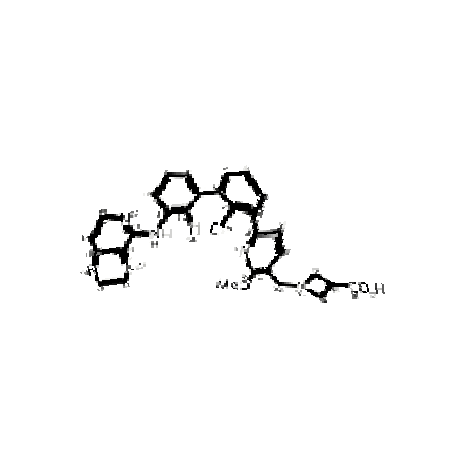 COc1nc(-c2cccc(-c3cccc(Nc4nccc5nccnc45)c3Cl)c2Cl)ccc1CN1CC(C(=O)O)C1